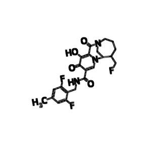 Cc1cc(F)c(CNC(=O)c2cn3c(c(O)c2=O)C(=O)N2CCCC(CF)C3C2)c(F)c1